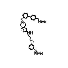 CNCc1ccc(-c2cccc(SN3CCC4(CC3)CC(NCCCOc3cccc(SNC)c3)CO4)c2)cc1